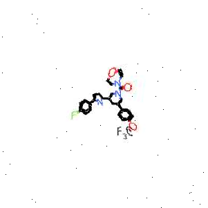 O=C(N1CCOCC1)N1CC(C2=NC(c3ccc(F)cc3)=CC2)CC(c2ccc(OC(F)(F)F)cc2)C1